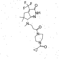 CN(CCC(=O)N1CCN(C(=O)C2CC2)CC1)[C@H]1c2n[nH]c(=O)c(C(F)(F)F)c2CC1(C)C